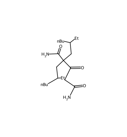 CCCCC(CC)CC(CC(CC)CCCC)(C(N)=O)C(=O)CC(N)=O